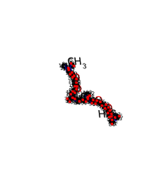 Cc1cccc(N(c2ccccc2)c2ccc3cc4c(cc3c2)oc2cc3cc5oc6cc7cc(N(c8ccccc8)c8cccc(Cc9cccc(N(c%10ccc%11cc%12c(cc%11c%10)oc%10cc%11cc%13oc%14cc%15cc(N(c%16ccccc%16)c%16ccccc%16C)ccc%15cc%14c%13cc%11cc%10%12)c%10ccccc%10C)c9)c8)ccc7cc6c5cc3cc24)c1